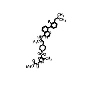 COC(=O)Nc1nc(C)c(S(=O)(=O)N2CCN(C[C@H](C)Nc3ncnc4c(-c5cccc(CN(C)C)c5F)cccc34)CC2)s1